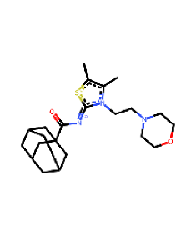 Cc1s/c(=N\C(=O)C23CC4CC(CC(C4)C2)C3)n(CCN2CCOCC2)c1C